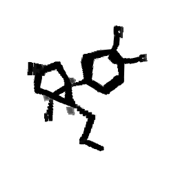 CSC[C@@H]1[C@H]2CNC[C@]21c1ccc(Cl)c(Cl)c1